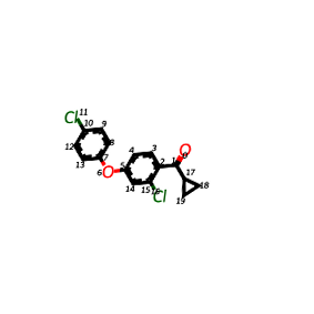 O=C(c1ccc(Oc2ccc(Cl)cc2)cc1Cl)C1CC1